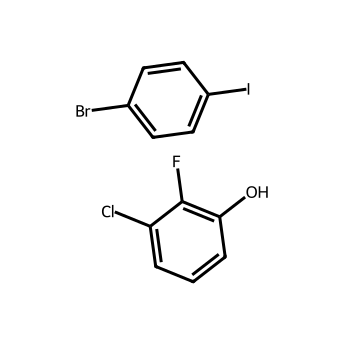 Brc1ccc(I)cc1.Oc1cccc(Cl)c1F